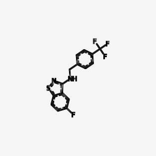 Fc1ccc2snc(NCc3ccc(C(F)(F)F)cc3)c2c1